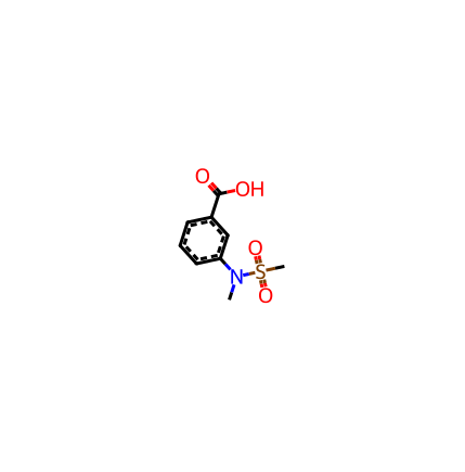 CN(c1cccc(C(=O)O)c1)S(C)(=O)=O